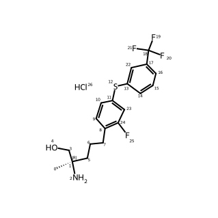 C[C@](N)(CO)CCCc1ccc(Sc2cccc(C(F)(F)F)c2)cc1F.Cl